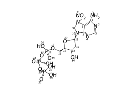 Nc1ncnc2c1N([N+](=O)[O-])CN2[C@H]1CC(O)[C@@H](COP(=O)(O)OP(=O)(O)OP(=O)(O)O)O1